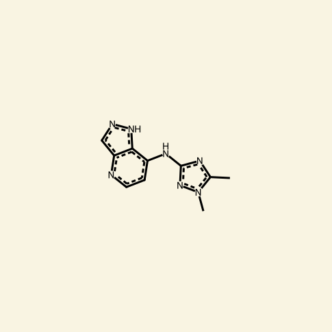 Cc1nc(Nc2ccnc3cn[nH]c23)nn1C